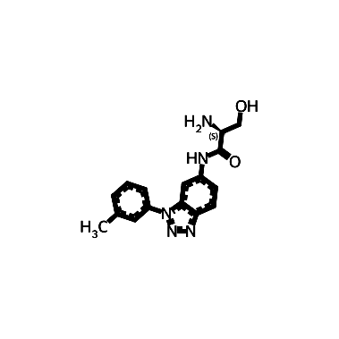 Cc1cccc(-n2nnc3ccc(NC(=O)[C@@H](N)CO)cc32)c1